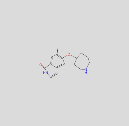 Cc1cc2c(=O)[nH]ccc2cc1OC1CCCNCC1